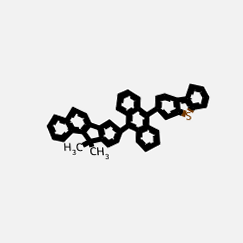 CC1(C)c2ccc(-c3c4ccccc4c(-c4ccc5c(c4)sc4ccccc45)c4ccccc34)cc2-c2ccc3ccccc3c21